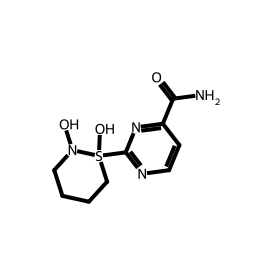 NC(=O)c1ccnc(S2(O)CCCCN2O)n1